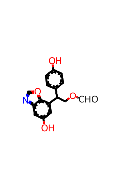 O=COCC(c1ccc(O)cc1)c1cc(O)cc2ncoc12